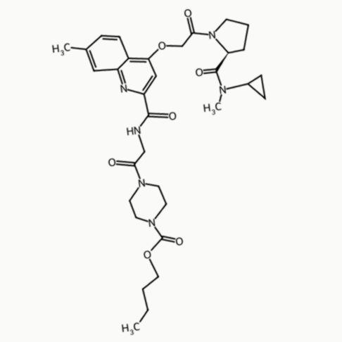 CCCCOC(=O)N1CCN(C(=O)CNC(=O)c2cc(OCC(=O)N3CCC[C@H]3C(=O)N(C)C3CC3)c3ccc(C)cc3n2)CC1